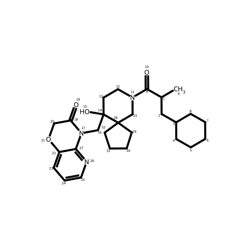 CC(CC1CCCCC1)C(=O)N1CCC(O)(CN2C(=O)COc3cccnc32)C2(CCCC2)C1